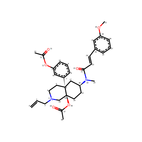 C=CCN1CC[C@@]2(c3cccc(OC(C)=O)c3)C[C@@H](N(C)C(=O)C=Cc3cccc(OC)c3)CC[C@]2(OC(C)=O)C1